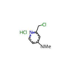 CNc1ccnc(CCl)c1.Cl